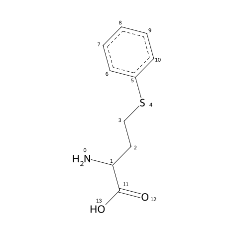 NC(CCSc1ccccc1)C(=O)O